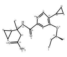 C[C@@H](CF)Oc1cc(C(=O)NC(C)(CC(N)=O)C2CC2)ncc1C1CC1